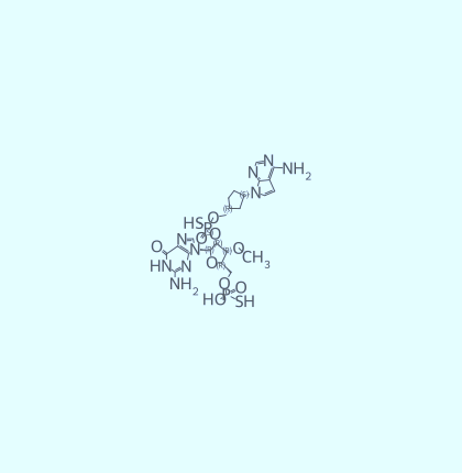 CO[C@H]1[C@@H](O[P@@](=O)(S)OC[C@@H]2CC[C@H](n3ccc4c(N)ncnc43)C2)[C@H](n2cnc3c(=O)[nH]c(N)nc32)O[C@@H]1COP(=O)(O)S